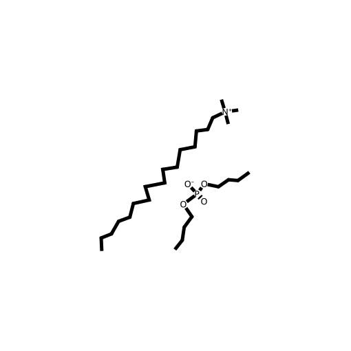 CCCCCCCCCCCCCCCC[N+](C)(C)C.CCCCOP(=O)([O-])OCCCC